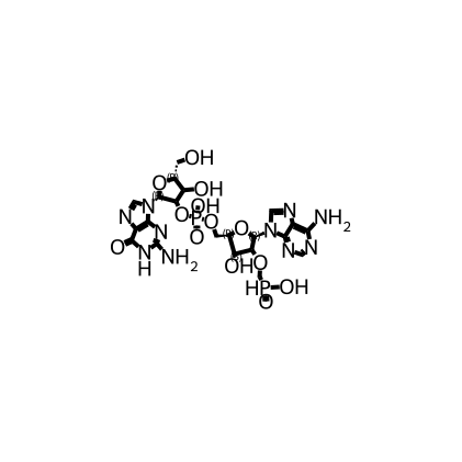 Nc1nc2c(ncn2[C@@H]2O[C@H](CO)C(O)C2OP(=O)(O)OC[C@H]2O[C@@H](n3cnc4c(N)ncnc43)C(OC[PH](=O)O)[C@H]2O)c(=O)[nH]1